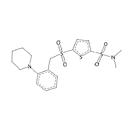 CN(C)S(=O)(=O)c1ccc(S(=O)(=O)Cc2ccccc2N2CCCCC2)s1